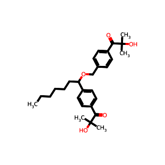 CCCCCCC(OCc1ccc(C(=O)C(C)(C)O)cc1)c1ccc(C(=O)C(C)(C)O)cc1